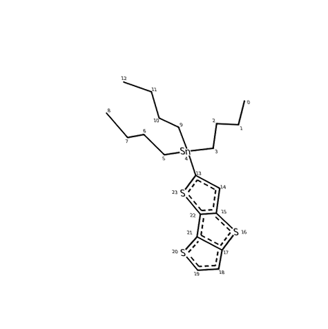 CCC[CH2][Sn]([CH2]CCC)([CH2]CCC)[c]1cc2sc3ccsc3c2s1